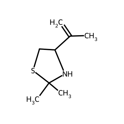 C=C(C)C1CSC(C)(C)N1